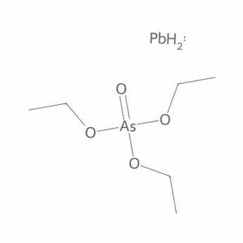 CCO[As](=O)(OCC)OCC.[PbH2]